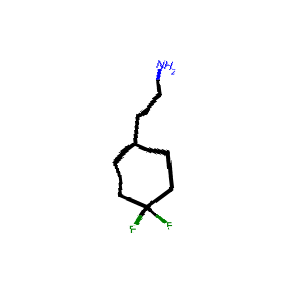 NCCC1CCC(F)(F)CC1